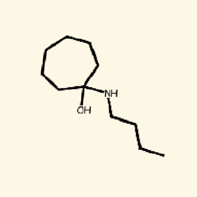 CCCCNC1(O)CCCCCC1